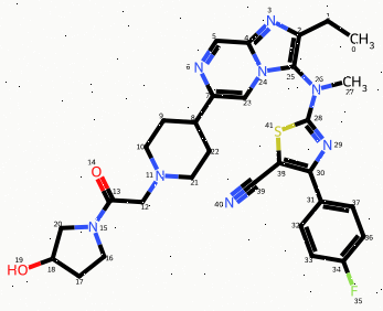 CCc1nc2cnc(C3CCN(CC(=O)N4CCC(O)C4)CC3)cn2c1N(C)c1nc(-c2ccc(F)cc2)c(C#N)s1